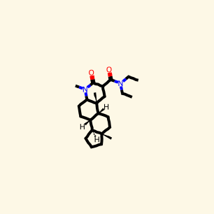 CCN(CC)C(=O)C1C[C@@]2(C)C(CC[C@@H]3[C@H]2CC[C@]2(C)CCC[C@@H]32)N(C)C1=O